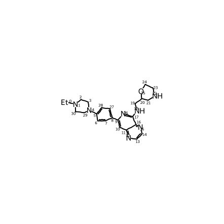 CCN1CCN(c2ccc(-c3cc4nccnc4c(NCC4CNCCO4)n3)cc2)CC1